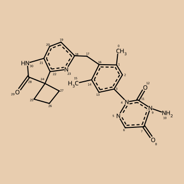 Cc1cc(-n2ncc(=O)n(N)c2=O)cc(C)c1Cc1ccc2c(n1)C1(CCC1)C(=O)N2